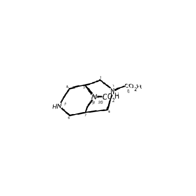 O=C(O)N1CC2CNCC(C1)N2C(=O)O